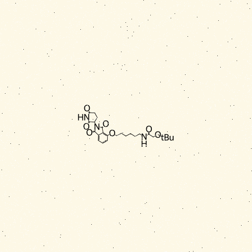 CC(C)(C)OCC(=O)NCCCCCCOc1cccc2c1C(=O)N(C1CCC(=O)NC1=O)C2=O